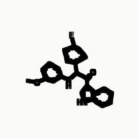 COc1cccc(NC(C(=O)c2c[nH]c3ccccc23)c2ccc(F)cc2)c1